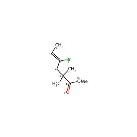 CC=C(Br)CC(C)(C)C(=O)OC